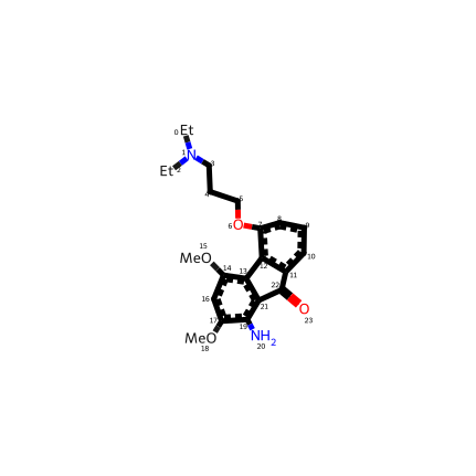 CCN(CC)CCCOc1cccc2c1-c1c(OC)cc(OC)c(N)c1C2=O